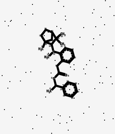 CC(OC(=O)Cc1ccccc1N(C)C1C2(C)CCC(C2)C1(C)C)c1ccccc1